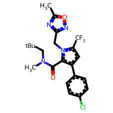 Cc1nc(Cn2c(C(F)(F)F)cc(-c3ccc(Cl)cc3)c2C(=O)N(C)CC(C)(C)C)no1